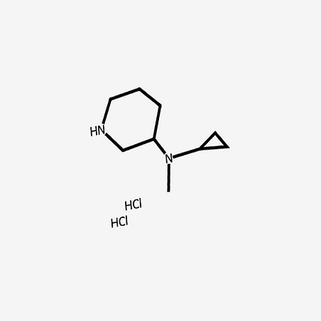 CN(C1CC1)C1CCCNC1.Cl.Cl